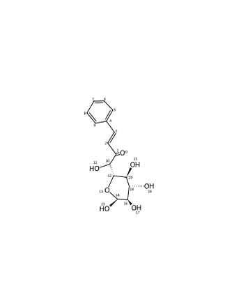 O=C(C=Cc1ccccc1)C(O)[C@H]1O[C@H](O)[C@H](O)[C@@H](O)[C@@H]1O